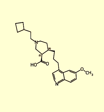 COc1ccc2nccc(CCC[C@@H]3CCN(CCC4CCC4)C[C@@H]3C(=O)O)c2c1